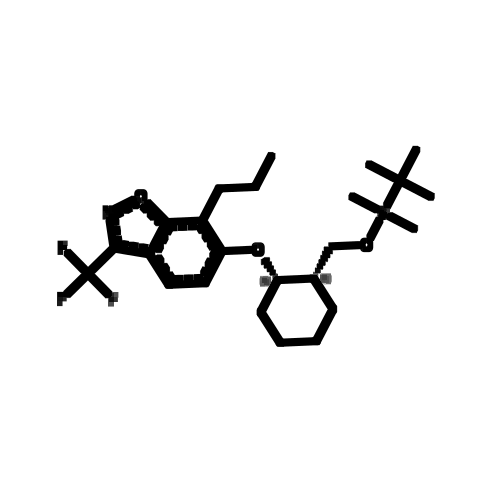 CCCc1c(O[C@H]2CCCC[C@H]2CO[Si](C)(C)C(C)(C)C)ccc2c(C(F)(F)F)noc12